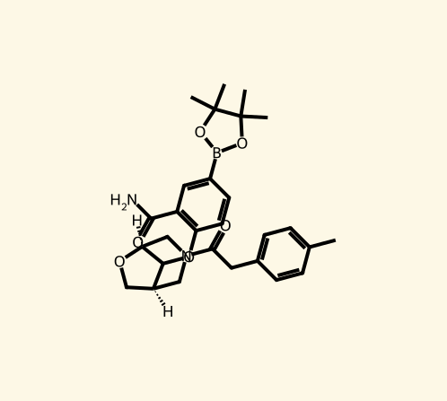 Cc1ccc(CC(=O)N2C[C@H]3CO[C@@H](C2)C3Oc2ccc(B3OC(C)(C)C(C)(C)O3)cc2C(N)=O)cc1